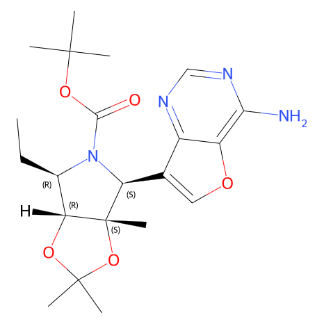 CC[C@@H]1[C@H]2OC(C)(C)O[C@@]2(C)[C@H](c2coc3c(N)ncnc23)N1C(=O)OC(C)(C)C